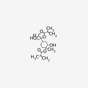 C=C(C)C(=O)OC1(C)CCC(C(C)(CO)OC(=O)C(=C)C)CC1O